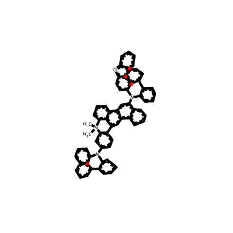 C[Si]1(C)c2cc(N(c3ccccc3)c3ccccc3-c3ccccc3)ccc2-c2cc3c4ccccc4c(N(c4ccc5oc6ccccc6c5c4)c4ccccc4-c4ccccc4)cc3c3cccc1c23